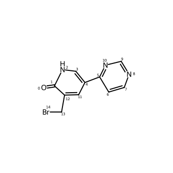 O=c1[nH]cc(-c2ccncn2)cc1CBr